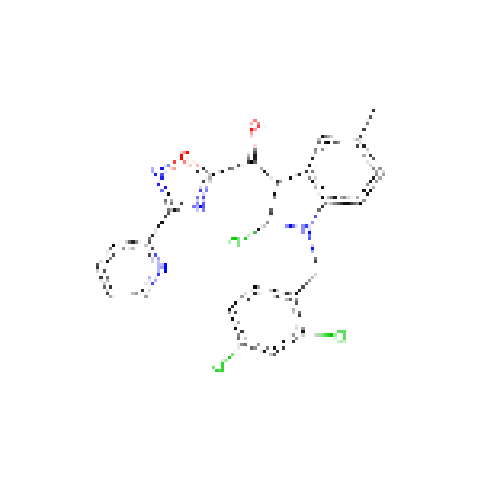 Cc1ccc2c(c1)C(C(=O)c1nc(-c3ccccn3)no1)C(Cl)N2Cc1ccc(Cl)cc1Cl